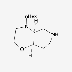 CCCCCCN1CCO[C@@H]2CCNC[C@@H]21